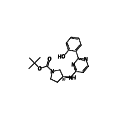 CC(C)(C)OC(=O)N1CC[C@H](Nc2ccnc(-c3ccccc3O)n2)C1